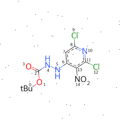 CC(C)(C)OC(=O)NNc1cc(Cl)nc(Cl)c1[N+](=O)[O-]